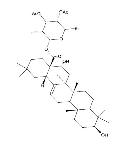 CCC1O[C@H](OC(=O)[C@]23CCC(C)(C)C[C@H]2C2=CCC4[C@@]5(C)CC[C@H](O)C(C)(C)C5CC[C@@]4(C)[C@]2(C)C[C@H]3O)[C@H](C)C(OC(C)=O)[C@@H]1OC(C)=O